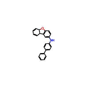 C1=CC2Oc3ccc(Nc4ccc(-c5ccccc5)cc4)cc3C2C=C1